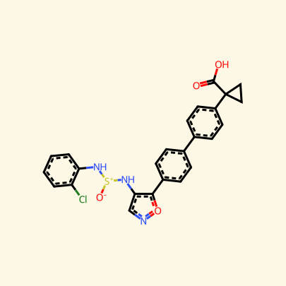 O=C(O)C1(c2ccc(-c3ccc(-c4oncc4N[S+]([O-])Nc4ccccc4Cl)cc3)cc2)CC1